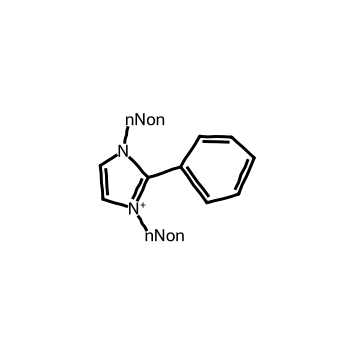 CCCCCCCCCn1cc[n+](CCCCCCCCC)c1-c1ccccc1